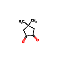 CC1(C)CC(=O)C(=O)C1